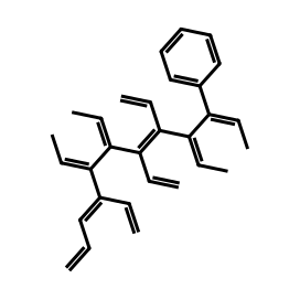 C=C/C=C(C=C)/C(=C/C)C(=C\C)/C(C=C)=C(C=C)/C(=C/C)C(=C\C)/c1ccccc1